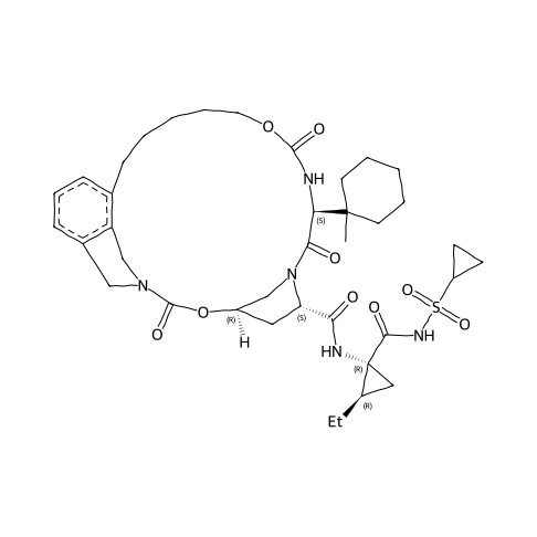 CC[C@@H]1C[C@]1(NC(=O)[C@@H]1C[C@@H]2CN1C(=O)[C@H](C1(C)CCCCC1)NC(=O)OCCCCCc1cccc3c1CN(C3)C(=O)O2)C(=O)NS(=O)(=O)C1CC1